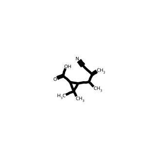 C=C(C#N)C(C)C1C(C(=O)O)C1(C)C